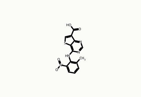 Cc1cccc([N+](=O)[O-])c1Nc1ncnc2c(C(=O)O)csc12